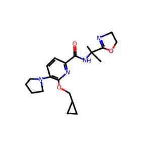 CC(C)(NC(=O)c1ccc(N2CCCC2)c(OCC2CC2)n1)C1=NCCO1